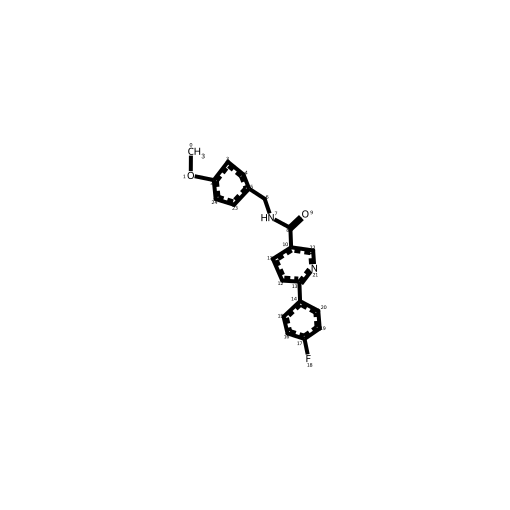 COc1ccc(CNC(=O)c2ccc(-c3ccc(F)cc3)nc2)cc1